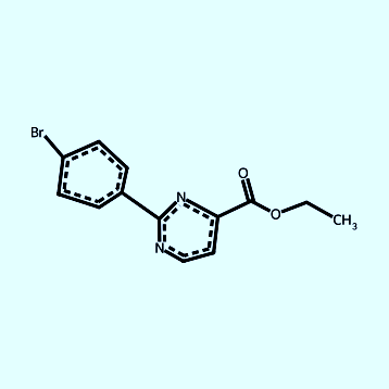 CCOC(=O)c1ccnc(-c2ccc(Br)cc2)n1